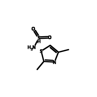 Cc1csc(C)n1.N[SH](=O)=O